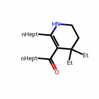 CCCCCCCC(=O)C1=C(CCCCCCC)NCCC1(CC)CC